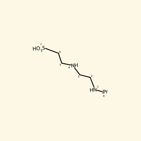 CC(C)NCCNCCS(=O)(=O)O